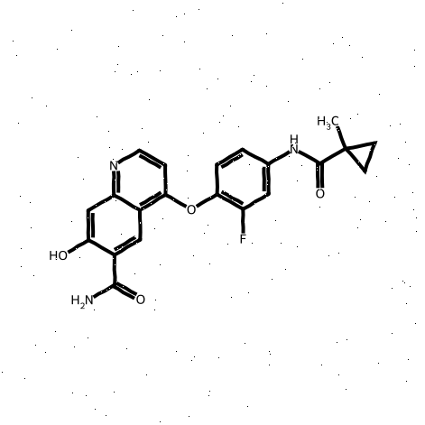 CC1(C(=O)Nc2ccc(Oc3ccnc4cc(O)c(C(N)=O)cc34)c(F)c2)CC1